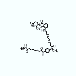 CN(C(=O)CCOCCOCCNc1cccc2c1C(=O)N(C1CCC(=O)NC1=O)C2=O)c1ccc(NC(=O)CCCCCCC(=O)NO)cc1